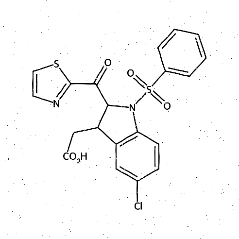 O=C(O)CC1c2cc(Cl)ccc2N(S(=O)(=O)c2ccccc2)C1C(=O)c1nccs1